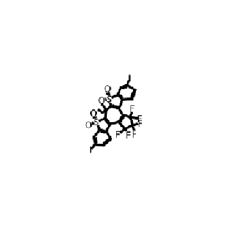 CCC1=C(C2=C(C3=C(CC)S(=O)(=O)c4cc(I)ccc43)C(F)(F)C(F)(F)C2(F)F)c2ccc(I)cc2S1(=O)=O